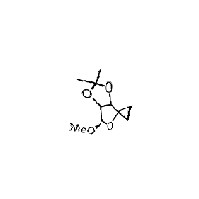 CO[C@@H]1OC2(CC2)C2OC(C)(C)OC21